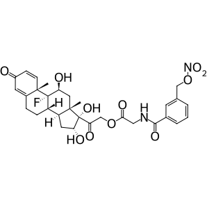 C[C@]12C=CC(=O)C=C1CC[C@H]1[C@@H]3C[C@@H](O)[C@](O)(C(=O)COC(=O)CNC(=O)c4cccc(CO[N+](=O)[O-])c4)[C@@]3(C)C[C@H](O)[C@@]12F